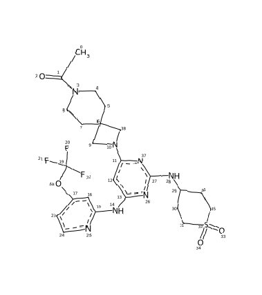 CC(=O)N1CCC2(CC1)CN(c1cc(Nc3cc(OC(F)(F)F)ccn3)nc(NC3CCS(=O)(=O)CC3)n1)C2